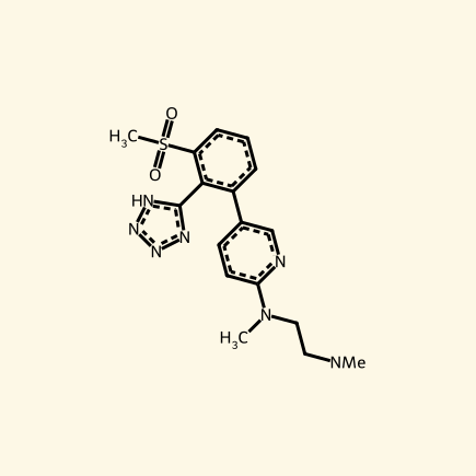 CNCCN(C)c1ccc(-c2cccc(S(C)(=O)=O)c2-c2nnn[nH]2)cn1